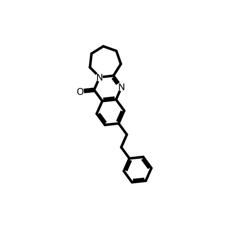 O=c1c2ccc(CCc3ccccc3)cc2nc2n1CCCCC2